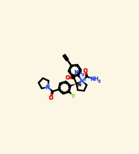 C#Cc1ccc([N+]2(C(N)=O)CCC[C@]2(C(N)=O)c2ccc(C(=O)N3CCCC3)cc2F)cc1